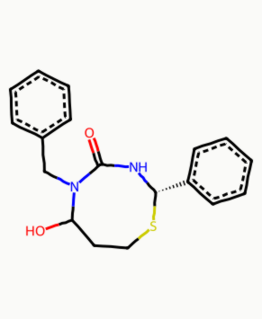 O=C1N[C@H](c2ccccc2)SCCC(O)N1Cc1ccccc1